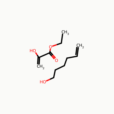 C=C(O)C(=O)OCC.C=CCCCCO